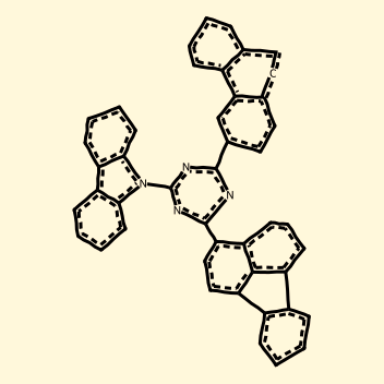 c1ccc2c(c1)-c1cccc3c(-c4nc(-c5ccc6ccc7ccccc7c6c5)nc(-n5c6ccccc6c6ccccc65)n4)ccc-2c13